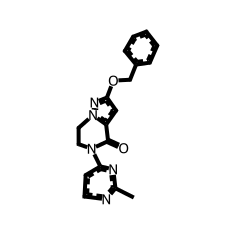 Cc1nccc(N2CCn3nc(OCc4ccccc4)cc3C2=O)n1